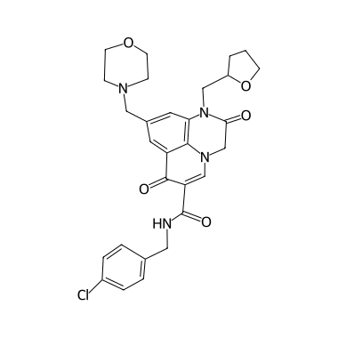 O=C(NCc1ccc(Cl)cc1)c1cn2c3c(cc(CN4CCOCC4)cc3c1=O)N(CC1CCCO1)C(=O)C2